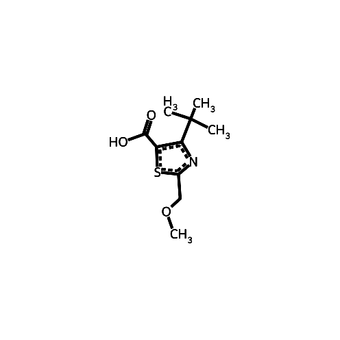 COCc1nc(C(C)(C)C)c(C(=O)O)s1